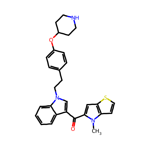 Cn1c(C(=O)c2cn(CCc3ccc(OC4CCNCC4)cc3)c3ccccc23)cc2sccc21